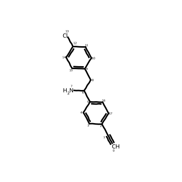 C#Cc1ccc(C(N)Cc2ccc(Cl)cc2)cc1